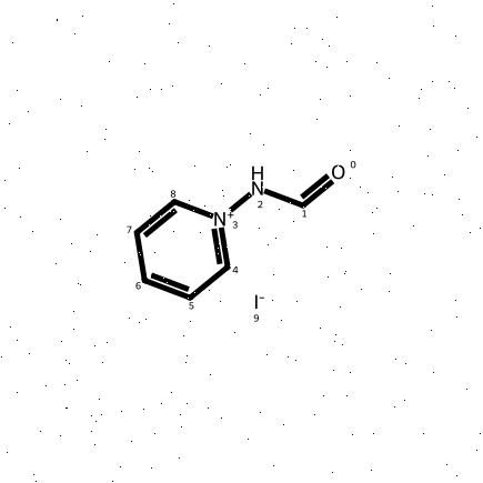 O=CN[n+]1ccccc1.[I-]